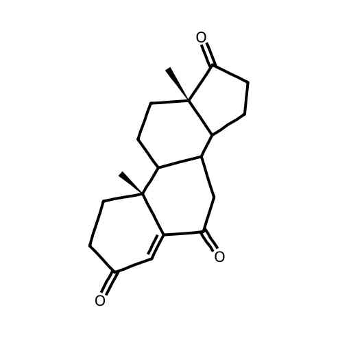 C[C@]12CCC(=O)C=C1C(=O)CC1C2CC[C@]2(C)C(=O)CCC12